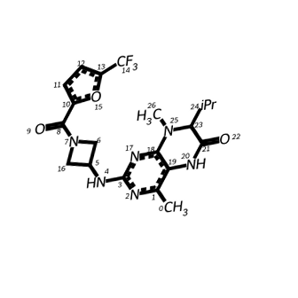 Cc1nc(NC2CN(C(=O)c3ccc(C(F)(F)F)o3)C2)nc2c1NC(=O)C(C(C)C)N2C